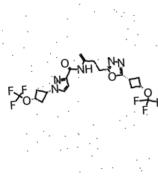 C=C(CCc1nnc([C@H]2C[C@@H](OC(F)(F)F)C2)o1)NC(=O)c1ccn([C@H]2C[C@@H](OC(F)(F)F)C2)n1